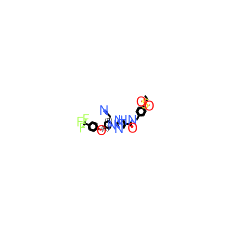 CCS(=O)(=O)c1ccc(CNC(=O)c2cnc(N3C[C@H](Oc4ccc(C(F)(F)F)cc4)C[C@H]3CC#N)nc2)cc1